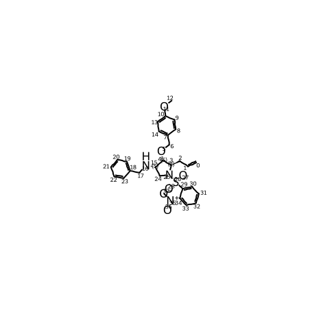 C=CC[C@@H]1[C@@H](OCc2ccc(OC)cc2)[C@@H](NCc2ccccc2)CN1S(=O)(=O)c1ccccc1[N+](=O)[O-]